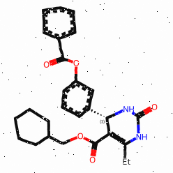 CCC1=C(C(=O)OCC2CCCCC2)[C@H](c2cccc(OC(=O)c3ccccc3)c2)NC(=O)N1